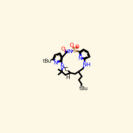 CC(C)(C)CCCC1CNc2cccc(n2)S(=O)(=O)NC(=O)c2ccc(C(C)(C)C)nc2N2C[C@@H](C1)CC2(C)C